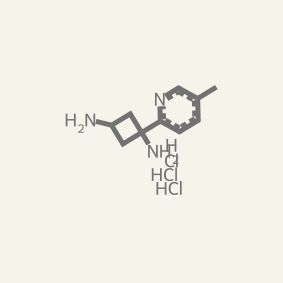 Cc1ccc(C2(N)CC(N)C2)nc1.Cl.Cl.Cl